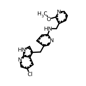 COc1ncccc1CNc1ccc(Cc2c[nH]c3ncc(Cl)cc23)cn1